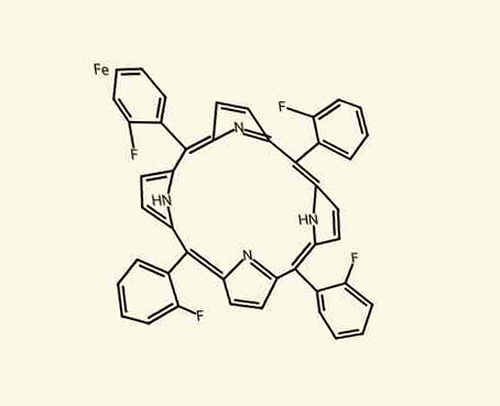 Fc1ccccc1-c1c2nc(c(-c3ccccc3F)c3ccc([nH]3)c(-c3ccccc3F)c3nc(c(-c4ccccc4F)c4ccc1[nH]4)C=C3)C=C2.[Fe]